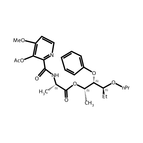 CCCO[C@@H](CC)[C@@H](Oc1ccccc1)[C@H](C)OC(=O)[C@H](C)NC(=O)c1nccc(OC)c1OC(C)=O